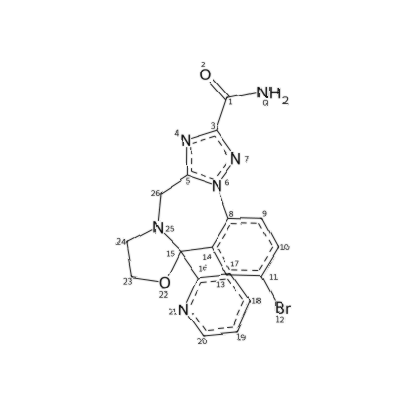 NC(=O)c1nc2n(n1)-c1ccc(Br)cc1C1(c3ccccn3)OCCN1C2